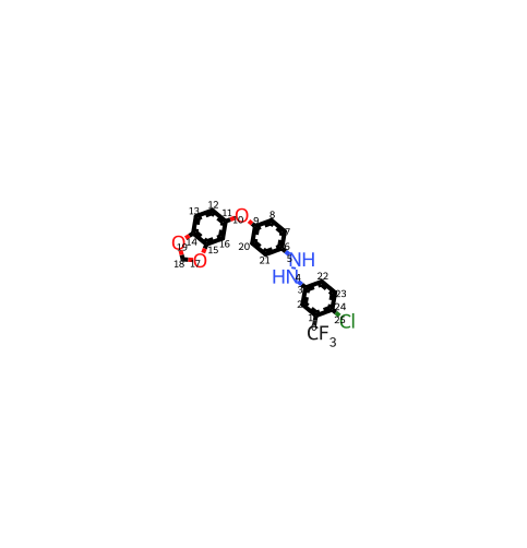 FC(F)(F)c1cc(NNc2ccc(Oc3ccc4c(c3)OCO4)cc2)ccc1Cl